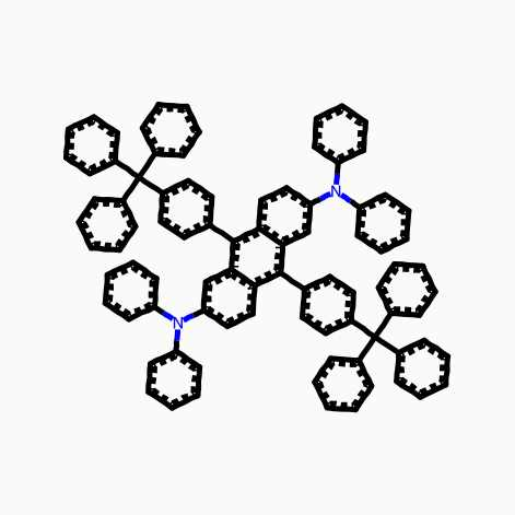 c1ccc(N(c2ccccc2)c2ccc3c(-c4ccc(C(c5ccccc5)(c5ccccc5)c5ccccc5)cc4)c4cc(N(c5ccccc5)c5ccccc5)ccc4c(-c4ccc(C(c5ccccc5)(c5ccccc5)c5ccccc5)cc4)c3c2)cc1